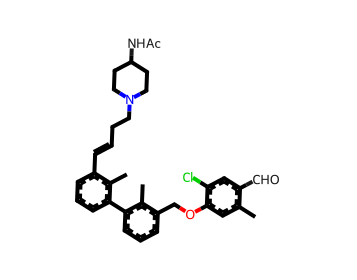 CC(=O)NC1CCN(CCC=Cc2cccc(-c3cccc(COc4cc(C)c(C=O)cc4Cl)c3C)c2C)CC1